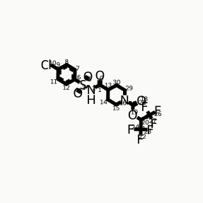 O=C(NS(=O)(=O)c1ccc(Cl)cc1)C1CCN(C(=O)OC(C(F)(F)F)C(F)(F)F)CC1